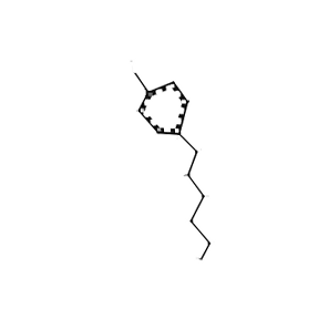 O=CCCCCCc1ccc(I)cc1